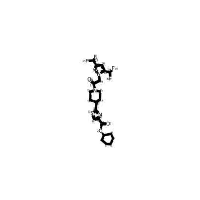 O=C(OC1CCCCC1)c1csc(C2CCN(C(=O)Cn3nc(C(F)F)cc3C(F)F)CC2)n1